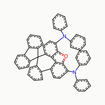 c1ccc(N(c2ccccc2)c2ccc3c4c2oc2c(N(c5ccccc5)c5ccccc5)ccc(c24)C2(c4ccccc4-c4ccccc42)c2ccccc2-3)cc1